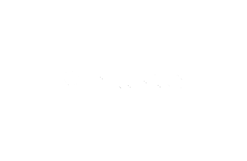 O=C(Nc1ccccc1)N1CCN(C[C@@H]2CCCN(CCc3ccccc3)C2)CC1